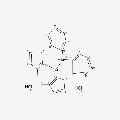 CC1=[C]([Zr]([C]2=C(C)C=CC2)[SiH](c2ccccc2)c2ccccc2)CC=C1.Cl.Cl